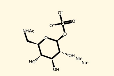 CC(=O)NC[C@H]1O[C@@H](OP(=O)([O-])[O-])[C@H](O)[C@@H](O)[C@@H]1O.[Na+].[Na+]